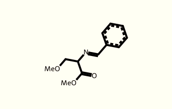 COCC(N=Cc1ccccc1)C(=O)OC